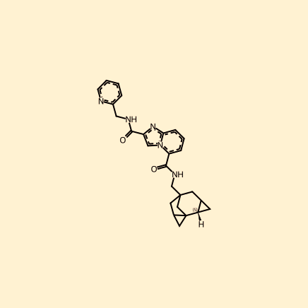 O=C(NCc1ccccn1)c1cn2c(C(=O)NCC34CC5C[C@@H]5C5(CC5C3)C4)cccc2n1